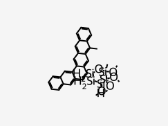 CO[SiH]1[SiH2][SiH2]O[Si](C)(OC)[Si]1(OC)OC.Cc1c2ccccc2cc2cc3c(ccc4cc5ccccc5cc43)cc12